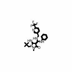 CN1C(=O)/C(=C(/NCc2ccc(C(F)(F)F)nc2)Nc2ccccc2)C(=N)N1CC(C)(C)C